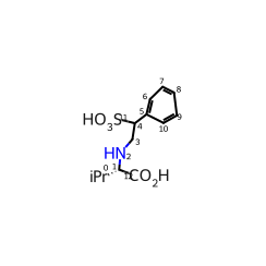 CC(C)[C@H](NCC(c1ccccc1)S(=O)(=O)O)C(=O)O